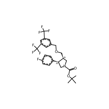 CC(C)(C)OC(=O)N1C[C@H](COCc2cc(C(F)(F)F)cc(C(F)(F)F)c2)[C@H](c2ccc(F)cc2)C1